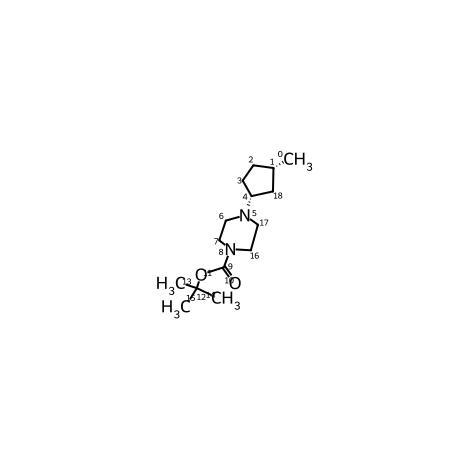 C[C@H]1CC[C@@H](N2CCN(C(=O)OC(C)(C)C)CC2)C1